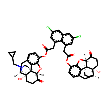 O=C(Cc1cc(Cl)cc2cc(Cl)cc(CC(=O)Oc3ccc4c5c3O[C@H]3C(=O)CC[C@@]6(O)[C@@H](C4)N(CC4CC4)CC[C@]536)c12)Oc1ccc2c3c1O[C@H]1C(=O)CC[C@@]4(O)[C@H](CCC[C@]314)C2